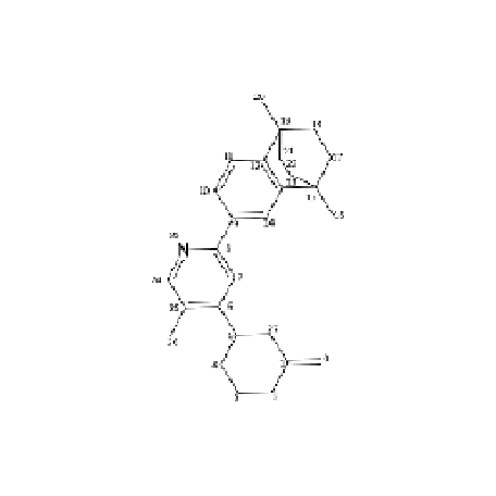 C=C1CCCC(c2cc(-c3ccc4c(c3)C3(C)CCC4(C)CC3)ncc2C)C1